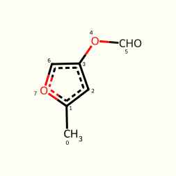 Cc1cc(OC=O)co1